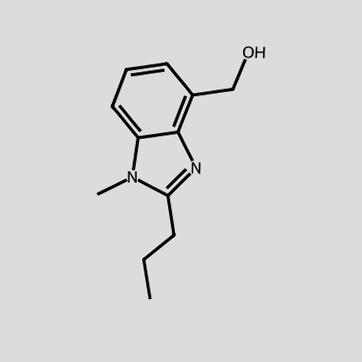 CCCc1nc2c(CO)cccc2n1C